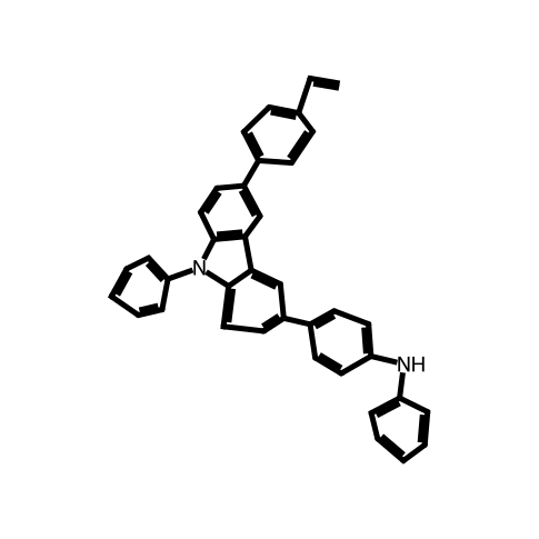 C=Cc1ccc(-c2ccc3c(c2)c2cc(-c4ccc(Nc5ccccc5)cc4)ccc2n3-c2ccccc2)cc1